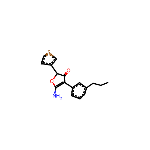 CCCc1cccc(C2=C(N)OC(c3ccsc3)C2=O)c1